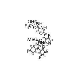 COC(=O)N[C@H](C(=O)Nc1cncc(F)c1CC[C@@H]1CN[C@@H](C(NC=O)OCC(F)(F)F)CO1)[C@@H](c1ccc(F)cc1)c1cc(F)cc(F)c1